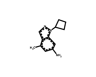 Cc1cc(N)cc2c1cnn2C1CCC1